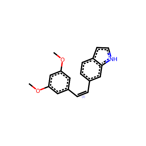 COc1cc(/C=C\c2ccc3cc[nH]c3c2)cc(OC)c1